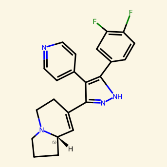 Fc1ccc(-c2[nH]nc(C3=C[C@@H]4CCCN4CC3)c2-c2ccncc2)cc1F